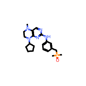 CN1CCN(C2CCCC2)c2nc(Nc3cccc(CP(C)(C)=O)c3)ncc21